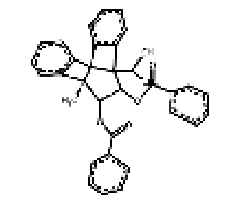 CC(C)C12c3ccccc3[C@@]13c1ccccc1[C@@]3(C)C(OC(=O)c1ccccc1)C2OC(=O)c1ccccc1